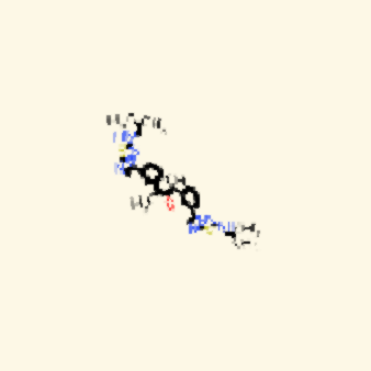 CC(C)CNc1nn2c(-c3cccc(C(C)C(=O)C(C)c4cccc(-c5cnc6sc(NCC(C)C)nn56)c4)c3)cnc2s1